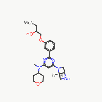 CNCC(O)COc1cccc(-c2nc(N(C)C3CCOCC3)cc(N3CC4NC[C@@H]43)n2)c1